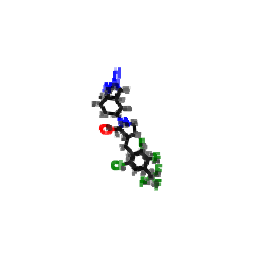 O=C1C(Cc2c(Cl)cc(C(F)(F)F)c(F)c2F)CCN1C1CCc2n[nH]cc2C1